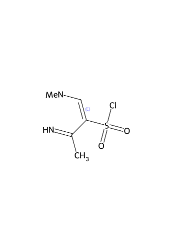 CN/C=C(\C(C)=N)S(=O)(=O)Cl